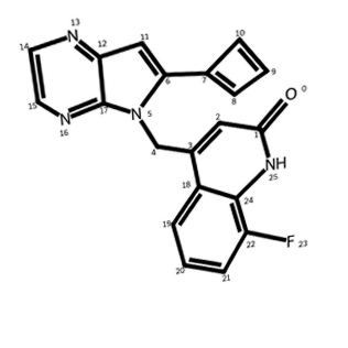 O=c1cc(Cn2c(C3=CC=C3)cc3nccnc32)c2cccc(F)c2[nH]1